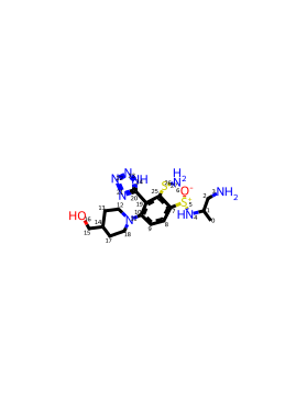 CC(CN)N[S+]([O-])c1ccc(N2CCC(CO)CC2)c(-c2nnn[nH]2)c1SN